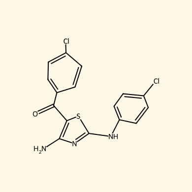 Nc1nc(Nc2ccc(Cl)cc2)sc1C(=O)c1ccc(Cl)cc1